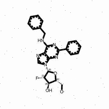 [O]C[C@H]1O[C@@H](n2cnc3c(NCc4ccccc4)nc(-c4ccccc4)nc32)[C@@H](F)[C@@H]1O